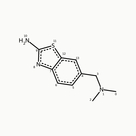 CN(C)Cc1ccc2nc(N)sc2c1